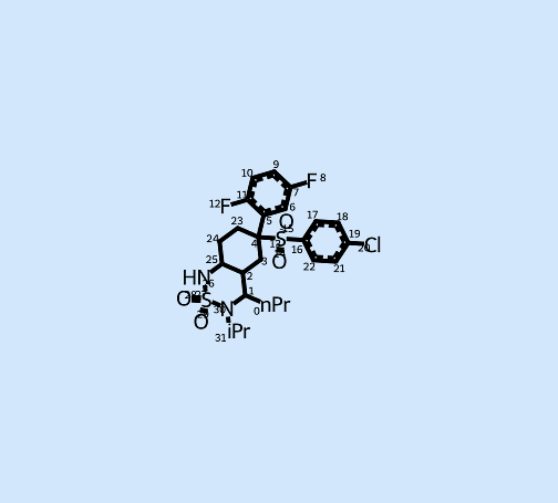 CCCC1C2CC(c3cc(F)ccc3F)(S(=O)(=O)c3ccc(Cl)cc3)CCC2NS(=O)(=O)N1C(C)C